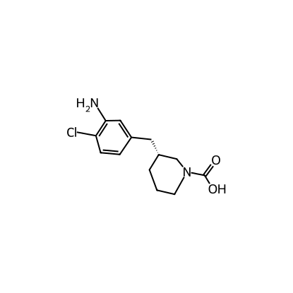 Nc1cc(C[C@H]2CCCN(C(=O)O)C2)ccc1Cl